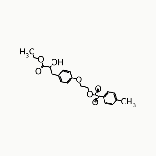 CCOC(=O)C(O)Cc1ccc(OCCOS(=O)(=O)c2ccc(C)cc2)cc1